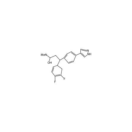 CNC(O)CC(c1ccc(-c2cn[nH]c2)cc1)C1C=CC(F)=C(F)C1